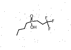 CCCCP(=O)(O)CCC(F)(F)F